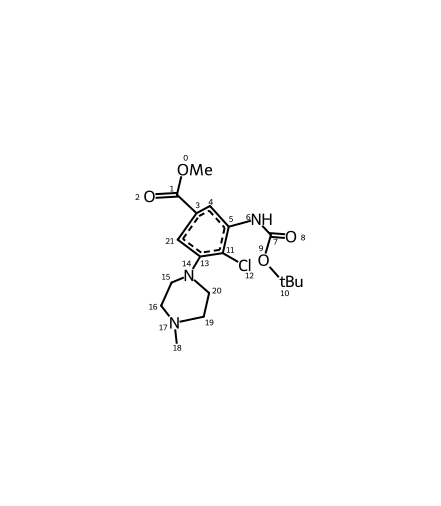 COC(=O)c1cc(NC(=O)OC(C)(C)C)c(Cl)c(N2CCN(C)CC2)c1